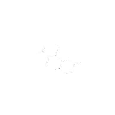 CCC(C(=N)C(=O)O)c1cc(F)ccc1O